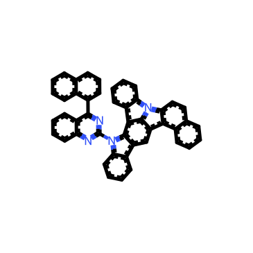 c1ccc2c(-c3nc(-n4c5ccccc5c5cc6c7c8ccccc8ccc7n7c8ccccc8c(c54)c67)nc4ccccc34)cccc2c1